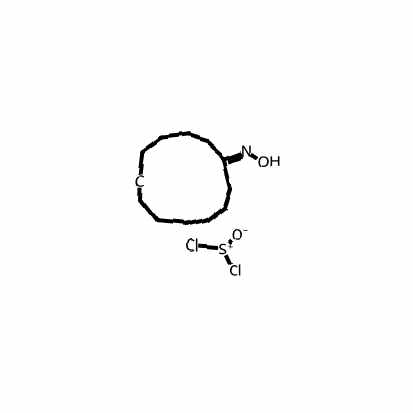 ON=C1CCCCCCCCCCC1.[O-][S+](Cl)Cl